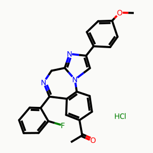 COc1ccc(-c2cn3c(n2)CN=C(c2ccccc2F)c2cc(C(C)=O)ccc2-3)cc1.Cl